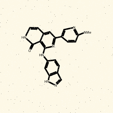 CNc1ccc(-c2cc3cc[nH]c(=O)c3c(Nc3ccc4cn[nH]c4c3)n2)cn1